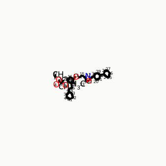 CCOC(=O)C(C)(C)Oc1ccc(OCCc2nc(-c3ccc(-c4ccccc4)cc3)oc2C)cc1CCc1ccccc1